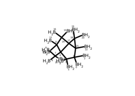 BC1(B)C(B)(B)C2(C(B)(B)C(C)(C)C)C(B)(B)C(B)(B)C23C(B)(B)C13B